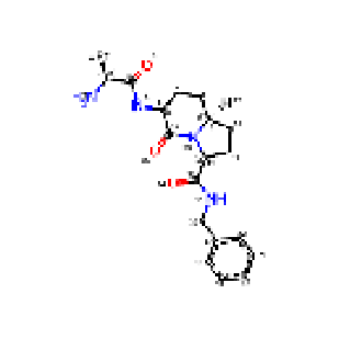 CC[C@H](N)C(=O)N[C@H]1CC[C@H]2CC[C@@H](C(=O)NCc3ccccc3)N2C1=O